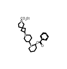 CCOC(=O)N1CCC2(CC(N3CCC(N4CCCCC4OC(=O)c4ccccc4)CC3)C2)C1